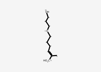 CC(=CCCCOCCCO)C(=O)O